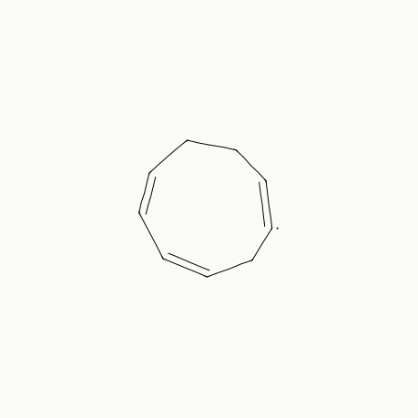 [C]1=CCCC=CC=CC1